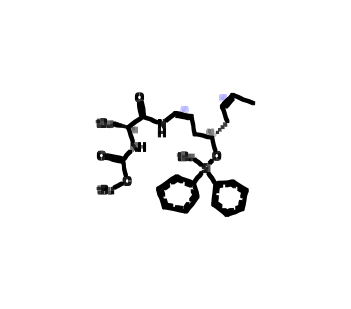 C/C=C\C[C@@H](C/C=C\NC(=O)[C@@H](NC(=O)OC(C)(C)C)C(C)(C)C)O[Si](c1ccccc1)(c1ccccc1)C(C)(C)C